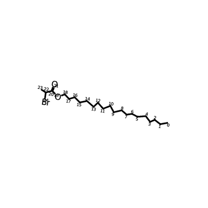 CCCCCCCCCCCCCCCCCCCOC(=O)C(C)Br